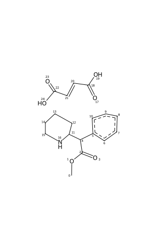 COC(=O)C(c1ccccc1)C1CCCCN1.O=C(O)C=CC(=O)O